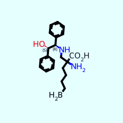 BCCCCC(N)(CN[C@H](c1ccccc1)[C@@H](O)c1ccccc1)C(=O)O